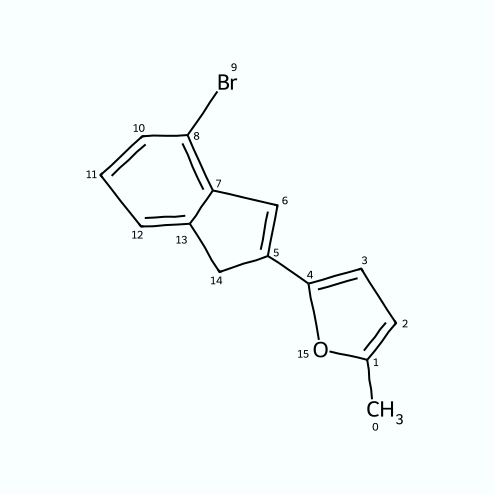 Cc1ccc(C2=Cc3c(Br)cccc3C2)o1